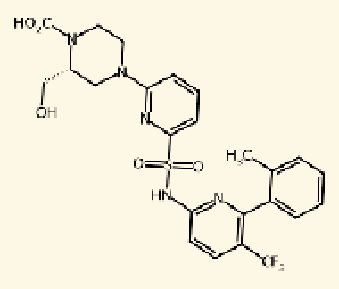 Cc1ccccc1-c1nc(NS(=O)(=O)c2cccc(N3CCN(C(=O)O)[C@@H](CO)C3)n2)ccc1C(F)(F)F